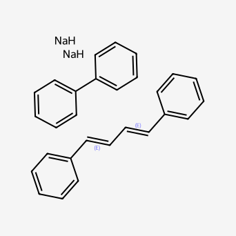 C(/C=C/c1ccccc1)=C\c1ccccc1.[NaH].[NaH].c1ccc(-c2ccccc2)cc1